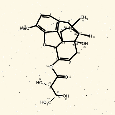 COc1ccc2c3c1OC1C(OC(=O)[C@@H](O)[C@H](O)C(=O)O)=CC[C@@]4(O)[C@@H](C2)N(C)CCC314